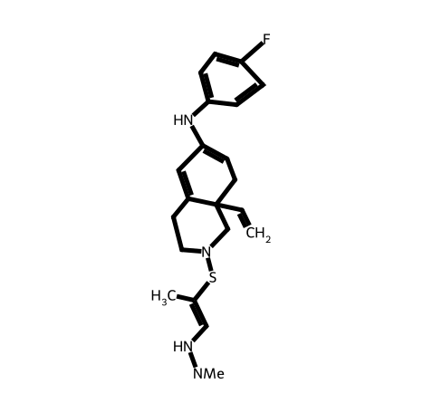 C=CC12CC=C(Nc3ccc(F)cc3)C=C1CCN(S/C(C)=C/NNC)C2